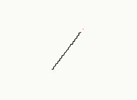 CCCCCCCCCCCCCCCCCCCCCCCCCCCCCOC=O